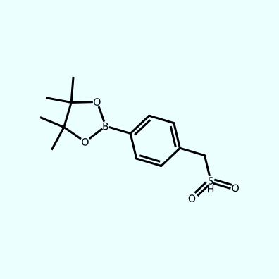 CC1(C)OB(c2ccc(C[SH](=O)=O)cc2)OC1(C)C